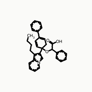 CCCCc1c(C2(OC(C(=O)O)c3ccccc3)C=CC(c3ccccc3)=CC2)cn2ccccc12